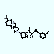 O=C(Nc1cc(NCc2cn3cc(Cl)ccc3n2)ncn1)[C@H]1CC1c1cccc(Cl)c1